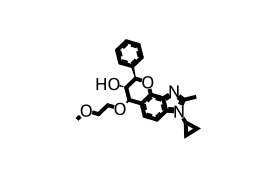 COCCO[C@H]1c2ccc3c(nc(C)n3C3CC3)c2O[C@H](c2ccccc2)[C@H]1O